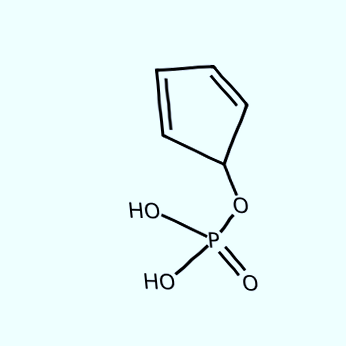 O=P(O)(O)OC1C=CC=C1